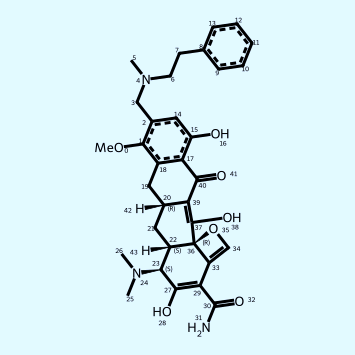 COc1c(CN(C)CCc2ccccc2)cc(O)c2c1C[C@H]1C[C@H]3[C@H](N(C)C)C(O)=C(C(N)=O)C4=CO[C@@]43C(O)=C1C2=O